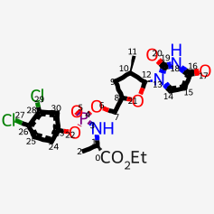 CCOC(=O)[C@@H](C)NP(=O)(OCC1C[C@@H](C)[C@H](n2ccc(=O)[nH]c2=O)O1)Oc1ccc(Cl)c(Cl)c1